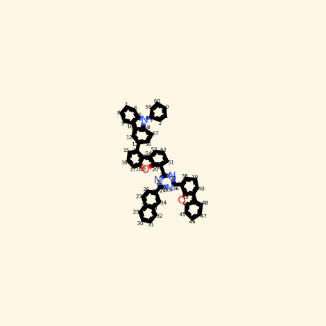 c1ccc(-n2c3ccccc3c3cc(-c4cccc5oc6c(-c7nc(-c8ccc9ccccc9c8)nc(-c8cccc9c8oc8ccccc89)n7)cccc6c45)ccc32)cc1